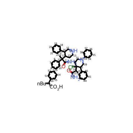 CC(C(N)=O)(c1ccccc1)C1CCNCC1c1ccccc1.CC(C(N)=O)C1(Cl)CCN(c2ccccc2)CC1c1ccccc1.CCCCC(C(=O)O)c1ccccc1